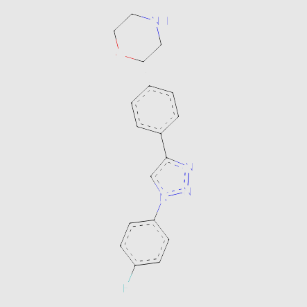 Fc1ccc(-n2cc(-c3ccc([C@H]4CNCCO4)cc3)nn2)cc1